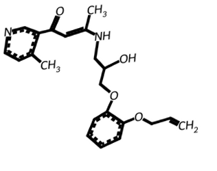 C=CCOc1ccccc1OCC(O)CNC(C)=CC(=O)c1cnccc1C